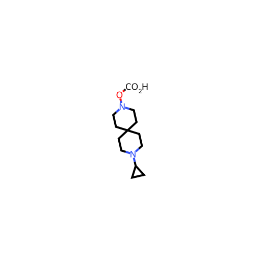 O=C(O)ON1CCC2(CC1)CCN(C1CC1)CC2